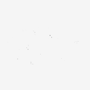 COc1cc(C)c(Sc2cnc(NC(=O)C3CC3)s2)cc1C(=O)N1CCN(C(C)C)CC1